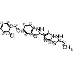 CSC1Nn2cc(C3Nc4ccc(OCc5ccccc5Cl)cc4O3)nc2S1